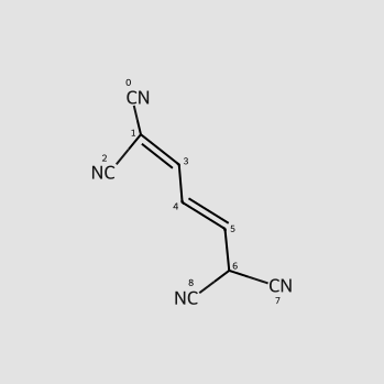 N#CC(C#N)=CC=CC(C#N)C#N